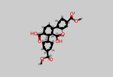 COC(=O)c1ccc(-c2ccc(C(=O)O)c(-c3ccc(C(=O)OC)cc3)c2C(=O)O)cc1